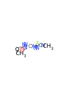 Cc1cccc(CC2OCCn3c2nnc3[C@H]2CC[C@H](n3cc(C4(F)CCN(C)CC4)nn3)CC2)c1